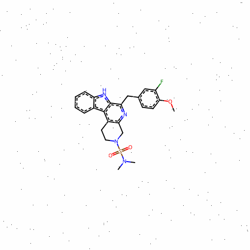 COc1ccc(Cc2nc3c(c4c2[nH]c2ccccc24)CCN(S(=O)(=O)N(C)C)C3)cc1F